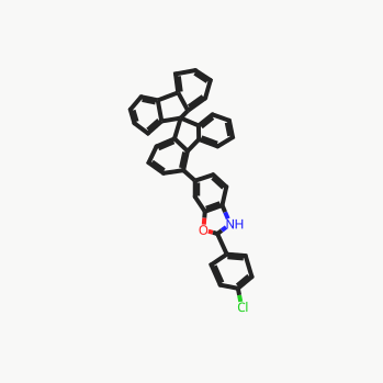 Clc1ccc(C2Nc3ccc(-c4cccc5c4-c4ccccc4C54c5ccccc5-c5ccccc54)cc3O2)cc1